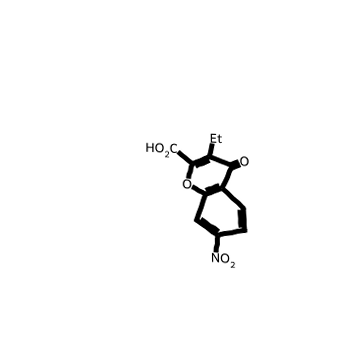 CCc1c(C(=O)O)oc2cc([N+](=O)[O-])ccc2c1=O